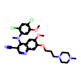 COc1cc(N(C)c2c(C#N)cnc3cc(OCCCN4CCN(C)CC4)c(OC)cc23)c(Cl)cc1Cl